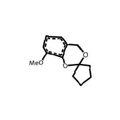 COc1cccc2c1OC1(CCCC1)OC2